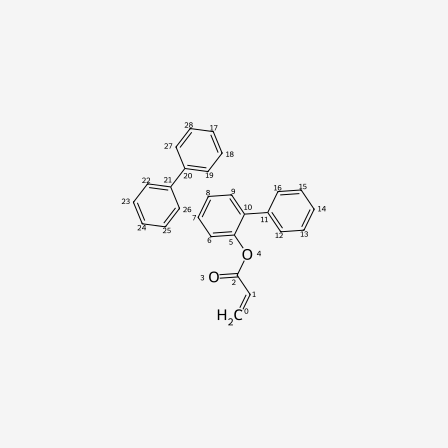 C=CC(=O)Oc1ccccc1-c1ccccc1.c1ccc(-c2ccccc2)cc1